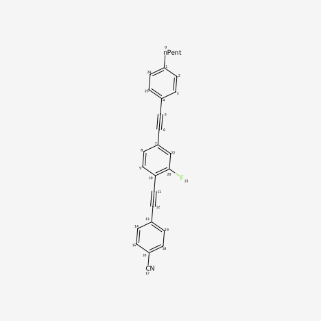 CCCCCc1ccc(C#Cc2ccc(C#Cc3ccc(C#N)cc3)c(F)c2)cc1